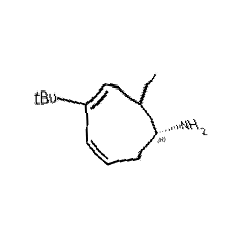 CC1C=C(C(C)(C)C)C=CC[C@H]1N